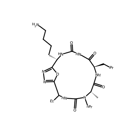 CCCN1C(=O)NC(CC)c2nnc(o2)[C@H](CCCCN)NC(=O)NC(=O)[C@@H](CC(C)C)NC(=O)[C@@H]1C